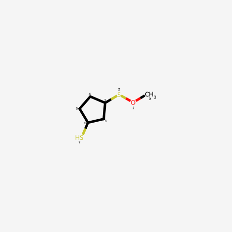 COSC1CCC(S)C1